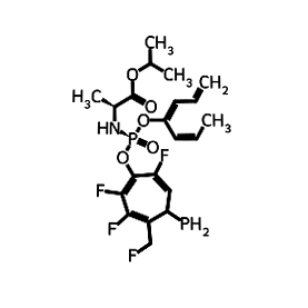 C=C/C=C(\C=C/C)O[P@@](=O)(N[C@@H](C)C(=O)OC(C)C)OC1=C(F)C(F)=C(CF)C(P)C=C1F